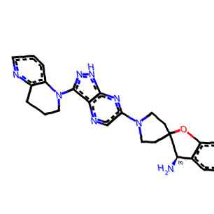 N[C@@H]1c2cccc(F)c2OC12CCN(c1cnc3c(N4CCCc5ncccc54)n[nH]c3n1)CC2